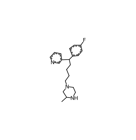 CC1CN(CCCCC(c2ccc(F)cc2)c2cccnc2)CCN1